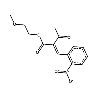 COCCOC(=O)/C(=C/c1ccccc1[N+](=O)[O-])C(C)=O